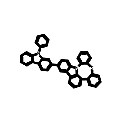 c1ccc(-n2c3ccccc3c3ccc(-c4ccc5c(c4)c4cccc6c7ccccc7sc7ccccc7n5c64)cc32)cc1